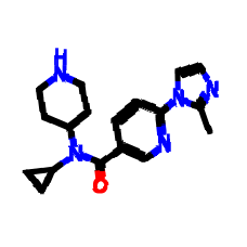 Cc1nccn1-c1ccc(C(=O)N(C2CCNCC2)C2CC2)cn1